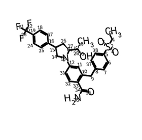 CCS(=O)(=O)c1ccc(Cc2cc(N3CC(c4ccc(C(F)(F)F)cc4)C[C@H]3[C@H](C)O)ccc2C(N)=O)cc1